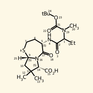 CCC(C(=O)N[C@H]1CCS[C@H]2CC(C)(C)[C@@H](C(=O)O)N2C1=O)N(C)C(=O)OC(C)(C)C